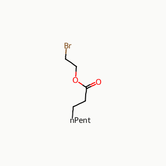 CCCCCCCC(=O)OCCBr